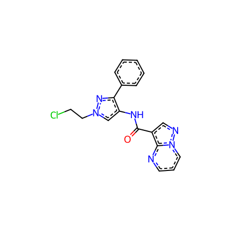 O=C(Nc1cn(CCCl)nc1-c1ccccc1)c1cnn2cccnc12